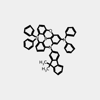 CC1(C)c2ccccc2-c2ccc(N3c4cc(N(c5ccccc5)c5ccccc5)cc5c4B4c6c(cccc6[Si](c6ccccc6)(c6ccccc6)c6cccc3c64)O5)cc21